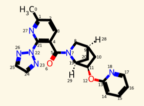 Cc1ccc(C(=O)N2C[C@H]3C[C@@H](Oc4ccccn4)[C@@H]2C3)c(-n2nccn2)n1